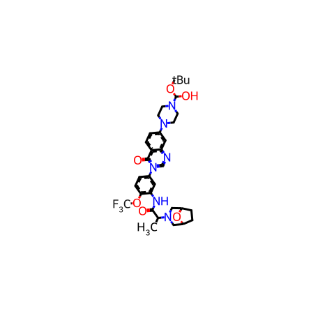 CC(C(=O)Nc1cc(-n2cnc3cc(N4CCN(C(O)OC(C)(C)C)CC4)ccc3c2=O)ccc1OC(F)(F)F)N1CC2CCC(C1)O2